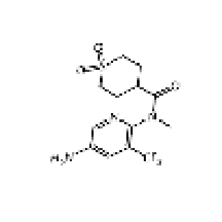 CN(C(=O)C1CCS(=O)(=O)CC1)c1ncc(N)cc1C(F)(F)F